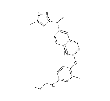 CCCOc1ccc(Oc2ccc3cc([C](C)c4cc(C)on4)ccc3n2)c(C)c1